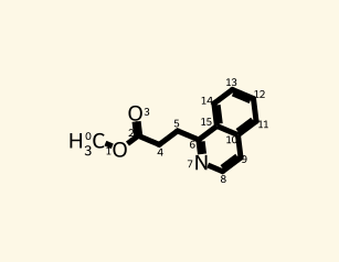 COC(=O)CCc1nccc2ccccc12